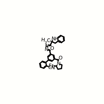 CCC1CCCN1C(=O)c1cc(-c2nnc([C@](C)(N)Cc3ccccc3)o2)cc(-c2ccccc2C#N)c1